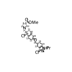 COC(=O)C1CCN(CC2=C(Cl)c3ccc(OCc4ccc5c(c4)c(Cl)nn5C(C)C)cc3CC2)C1